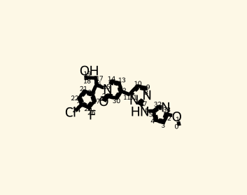 COc1ccc(Nc2nccc(-c3ccn(C(CCO)c4ccc(Cl)c(F)c4)c(=O)c3)n2)cn1